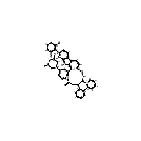 C=C1CC2c3ccccc3-c3cccc[n+]3C2CCc2ccc3c(oc4nc(-c5c(C)cccc5C)ccc43)c2-c2cc(C3CC(C)CC(C)C3)cc[n+]21